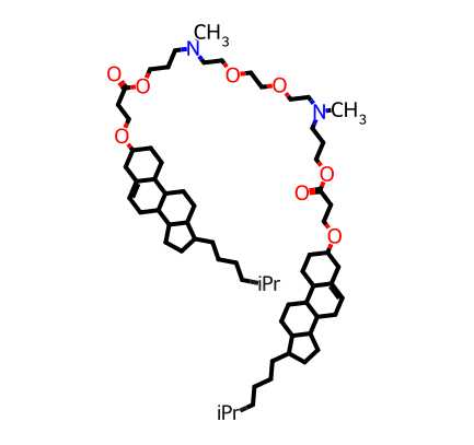 CC(C)CCCCC1CCC2C1CCC1C3CCC(OCCC(=O)OCCCN(C)CCOCCOCCN(C)CCCOC(=O)CCOC4CCC5C(=CCC6C5CCC5C(CCCCC(C)C)CCC56)C4)CC3=CCC12